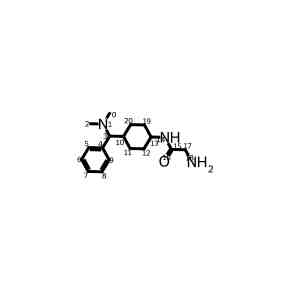 CN(C)C(c1ccccc1)C1CCC(NC(=O)CN)CC1